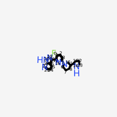 Fc1ccc(N2CCCC(C3CCCN3)C2)nc1-c1n[nH]c2ncccc12